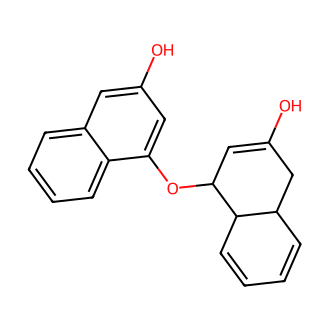 OC1=CC(Oc2cc(O)cc3ccccc23)C2C=CC=CC2C1